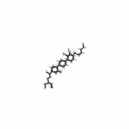 C=CC(CC)CCC(C)c1ccc(-c2ccc(-c3ccc(C/C=C\CCC)c(F)c3F)cc2)c(F)c1